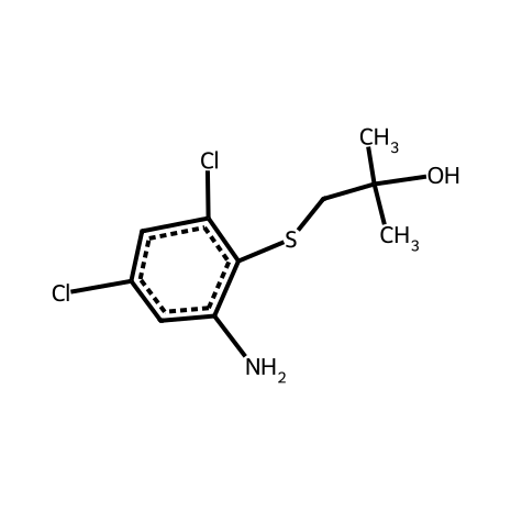 CC(C)(O)CSc1c(N)cc(Cl)cc1Cl